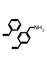 C=Cc1ccc(CN)cc1.C=Cc1ccccc1